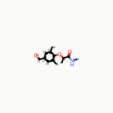 CNC(=O)C(C)Oc1c(C)cc(C=O)cc1C